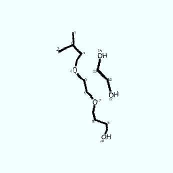 CC(C)COCCOCCO.OCCO